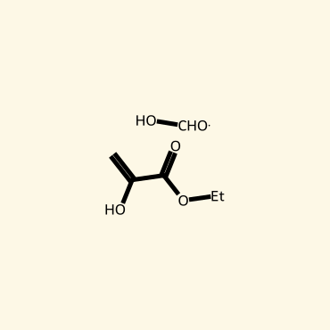 C=C(O)C(=O)OCC.O=[C]O